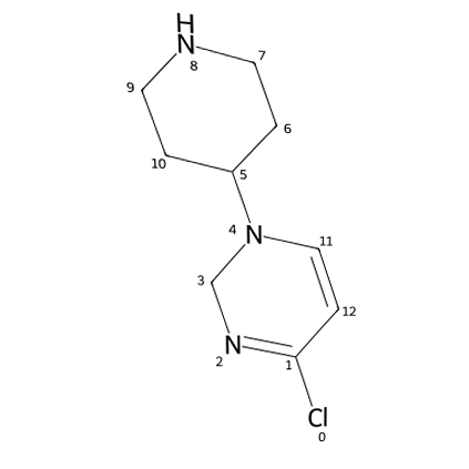 ClC1=NCN(C2CCNCC2)C=C1